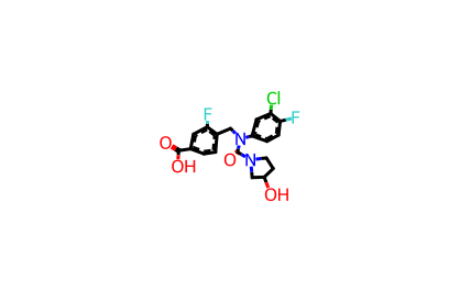 O=C(O)c1ccc(CN(C(=O)N2CCC(O)C2)c2ccc(F)c(Cl)c2)c(F)c1